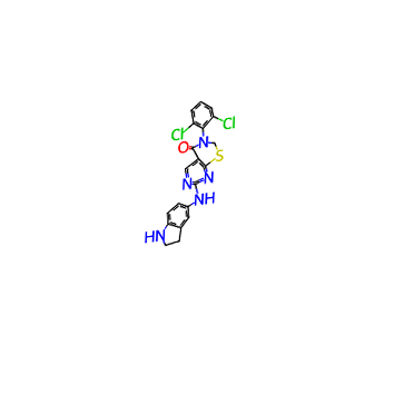 O=C1c2cnc(Nc3ccc4c(c3)CCN4)nc2SCN1c1c(Cl)cccc1Cl